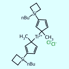 CCCC[Si]1(C2=C[C](C)([Ti+2][C]3(C)C=CC([Si]4(CCCC)CCC4)=C3)C=C2)CCC1.[Cl-].[Cl-]